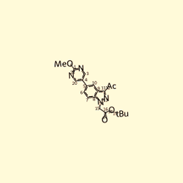 COc1ncc(-c2ccc3c(c2)c(C(C)=O)nn3CC(=O)OC(C)(C)C)cn1